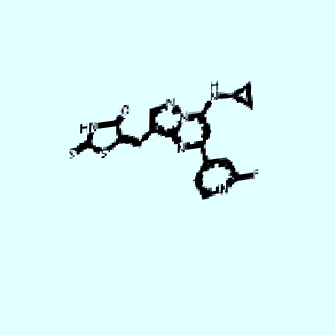 O=C1NC(=S)S/C1=C/c1cnn2c(NC3CC3)cc(-c3ccnc(F)c3)nc12